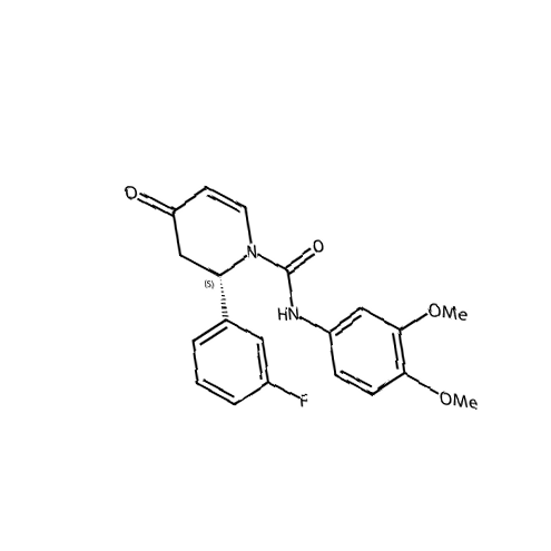 COc1ccc(NC(=O)N2C=CC(=O)C[C@H]2c2cccc(F)c2)cc1OC